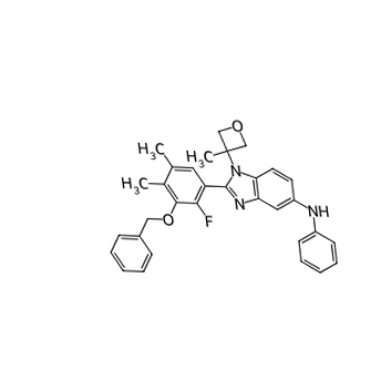 Cc1cc(-c2nc3cc(Nc4ccccc4)ccc3n2C2(C)COC2)c(F)c(OCc2ccccc2)c1C